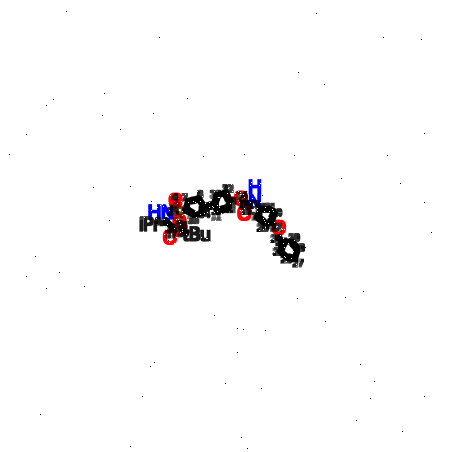 CC(C)C(NS(=O)(=O)c1ccc(-c2ccc(OC(=O)Nc3ccc(OCc4ccccc4)cc3)cc2)cc1)C(=O)OC(C)(C)C